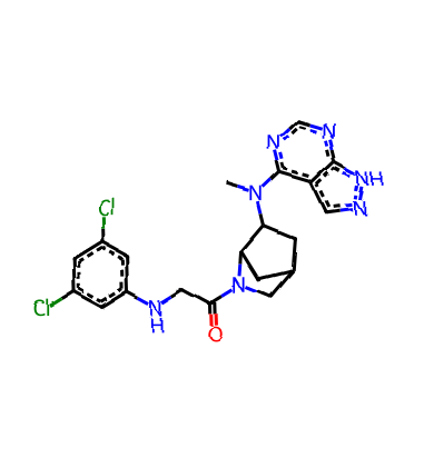 CN(c1ncnc2[nH]ncc12)C1CC2CC1N(C(=O)CNc1cc(Cl)cc(Cl)c1)C2